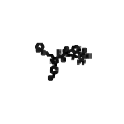 CC(C)(C)c1c(-c2nc(C(=O)Nc3cn(-c4ccc(C=O)cc4)nc3CCCOC3CCCCO3)co2)ccnc1N(CC(F)(F)F)C(=O)O